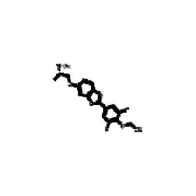 CC(=O)N[C@@H](C)COc1ccc2nc(-c3cc(F)c(OCC#N)c(F)c3)oc2c1